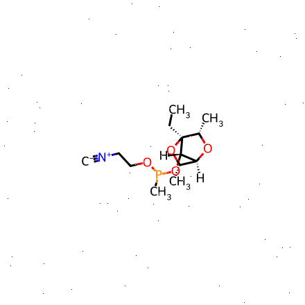 [C-]#[N+]CCOP(C)O[C@H]1[C@H]2O[C@@H](C)[C@]1(CC)O[C@H]2C